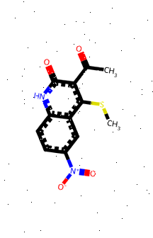 CSc1c(C(C)=O)c(=O)[nH]c2ccc([N+](=O)[O-])cc12